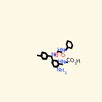 Cc1ccc(/C(=N/OCC(=O)NCC2CCCCC2)c2ccc(N)c(CNCC(=O)O)c2)cc1